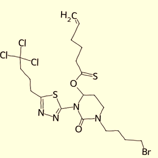 C=CCCCC(=S)OC1CCN(CCCCBr)C(=O)N1c1nnc(CCCC(Cl)(Cl)Cl)s1